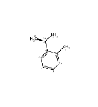 Cc1ccccc1[C@@H](C)N